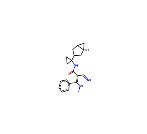 CN/C(=C(\C=N)C(=O)NC1(C2CC3C[C@@H]3C2)CC1)c1ccccc1